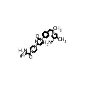 CC(C)C(N)C(=O)N1CCN(c2ccn(-c3ccc(CC(C)N4CC(C)[C@H](CN)C4)cc3)c(=O)n2)CC1